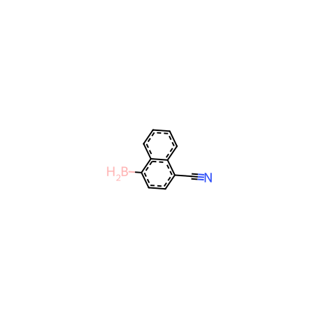 Bc1ccc(C#N)c2ccccc12